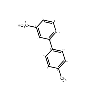 O=C(O)c1ccnc(-c2ccc(C(F)(F)F)cc2)c1